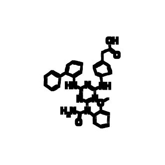 COc1ccccc1N(C(N)=O)c1nc(Nc2ccc(CC(=O)O)cc2)nc(Nc2ccccc2-c2ccccc2)n1